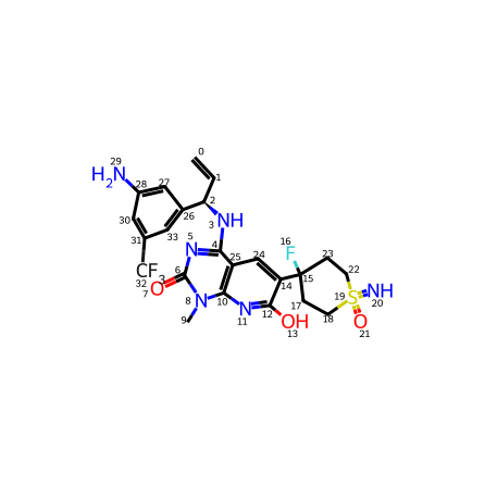 C=C[C@@H](Nc1nc(=O)n(C)c2nc(O)c(C3(F)CCS(=N)(=O)CC3)cc12)c1cc(N)cc(C(F)(F)F)c1